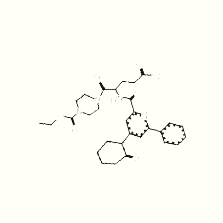 CCOC(=O)N1CCN(C(=O)C(CCC(=O)O)NC(=O)c2cc(C3CCCCC3=O)cc(-c3ccccc3)n2)CC1